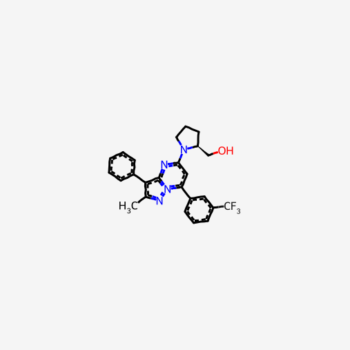 Cc1nn2c(-c3cccc(C(F)(F)F)c3)cc(N3CCC[C@H]3CO)nc2c1-c1ccccc1